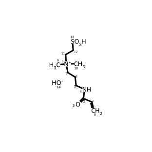 C=CC(=O)NCCC[N+](C)(C)CCS(=O)(=O)O.[OH-]